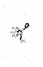 CCCCOC(OCc1ccccc1)C(OC)C(C)OC